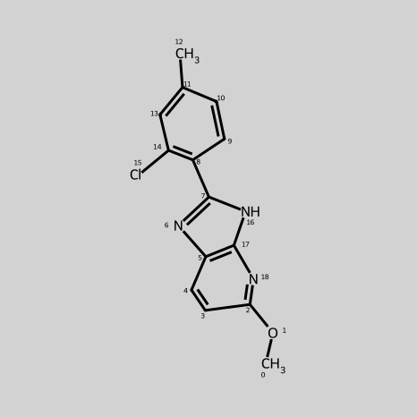 COc1ccc2nc(-c3ccc(C)cc3Cl)[nH]c2n1